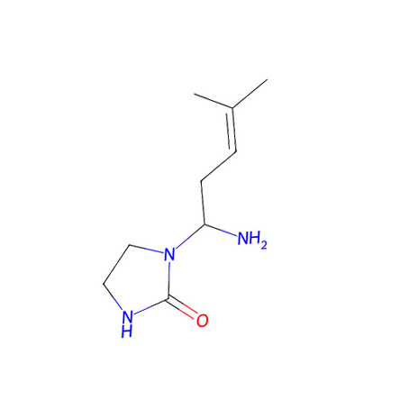 CC(C)=CCC(N)N1CCNC1=O